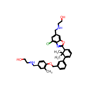 Cc1cc(CNCCO)ccc1OCc1cccc(C2=CC=CC(c3nc4c(Cl)cc(CNCCO)cc4o3)C2(C)C)c1